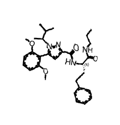 CCCNC(=O)[C@H](CCc1ccccc1)NC(=O)c1cc(-c2c(OC)cccc2OC)n(C(C)C(C)C)n1